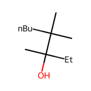 [CH2]CC(C)(O)C(C)(C)CCCC